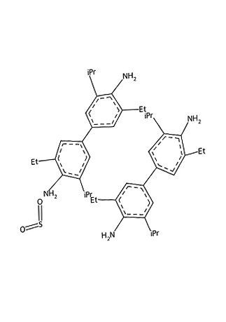 CCc1cc(-c2cc(CC)c(N)c(C(C)C)c2)cc(C(C)C)c1N.CCc1cc(-c2cc(CC)c(N)c(C(C)C)c2)cc(C(C)C)c1N.O=S=O